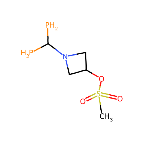 CS(=O)(=O)OC1CN(C(P)P)C1